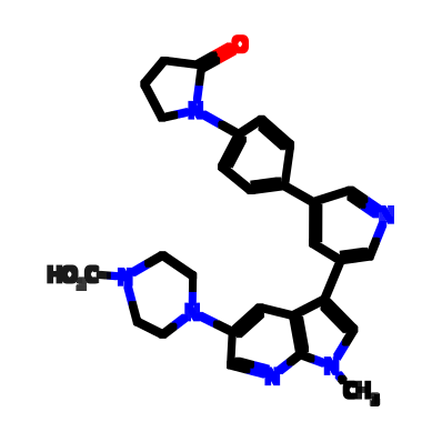 Cn1cc(-c2cncc(-c3ccc(N4CCCC4=O)cc3)c2)c2cc(N3CCN(C(=O)O)CC3)cnc21